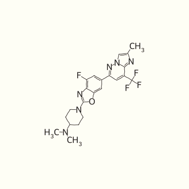 Cc1cn2nc(-c3cc(F)c4nc(N5CCC(N(C)C)CC5)oc4c3)cc(C(F)(F)F)c2n1